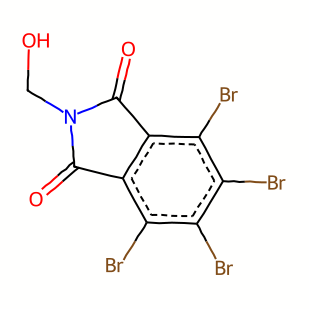 O=C1c2c(Br)c(Br)c(Br)c(Br)c2C(=O)N1CO